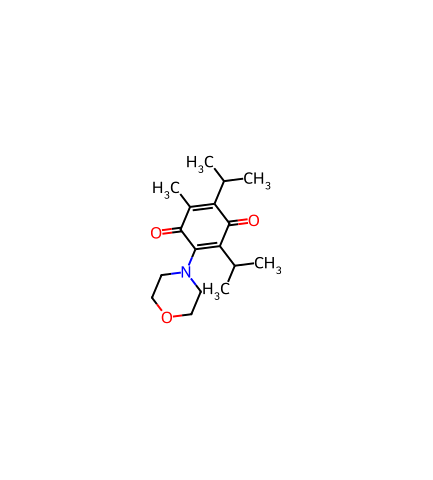 CC1=C(C(C)C)C(=O)C(C(C)C)=C(N2CCOCC2)C1=O